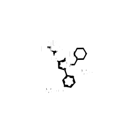 CCCCNC(=O)Oc1cc(-c2cc(OC)ccc2OC)n(CC2CCCCC2)c1C